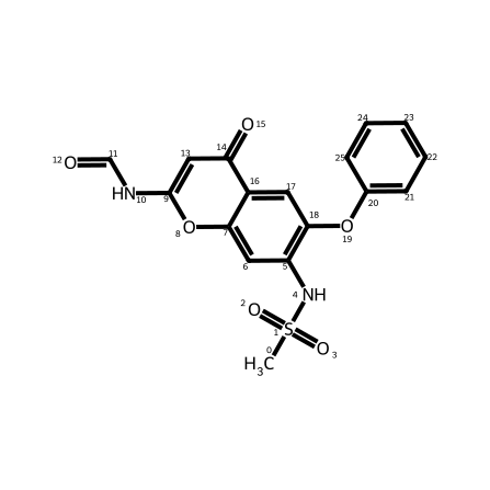 CS(=O)(=O)Nc1cc2oc(NC=O)cc(=O)c2cc1Oc1ccccc1